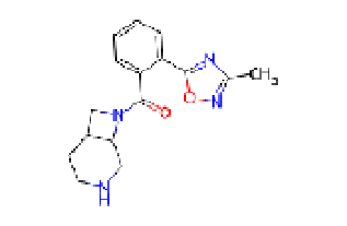 Cc1noc(-c2ccccc2C(=O)N2CC3CCNCC32)n1